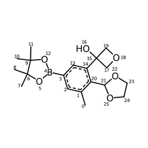 Cc1cc(B2OC(C)(C)C(C)(C)O2)cc(C2(O)COC2)c1C1OCCO1